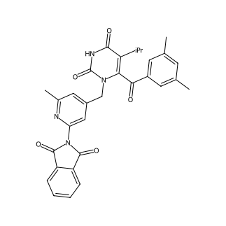 Cc1cc(C)cc(C(=O)c2c(C(C)C)c(=O)[nH]c(=O)n2Cc2cc(C)nc(N3C(=O)c4ccccc4C3=O)c2)c1